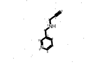 C#CCNCc1cccnc1